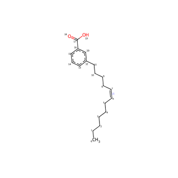 CCCCCC/C=C\CCCCc1cccc(C(=O)O)c1